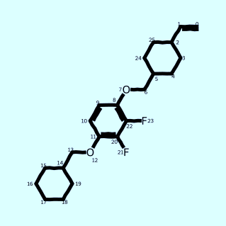 C=CC1CCC(COc2ccc(OCC3CCCCC3)c(F)c2F)CC1